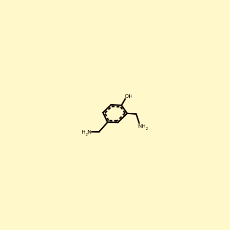 NCc1ccc(O)c(CN)c1